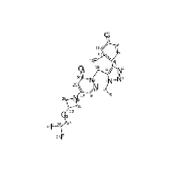 CCn1nnc(-c2ccc(Cl)cc2F)c1Cn1ncc(N2CC(OCC(F)F)C2)cc1=O